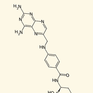 CC(=O)CC[C@H](NC(=O)c1ccc(NCc2cnc3nc(N)nc(N)c3n2)cc1)C(=O)O